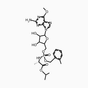 COc1nc(N)nc2c1ncn2C1OC(CO[P@@](=O)(N[C@@H](C)C(=O)OC(C)C)OCc2ccccc2C)C(O)C1O